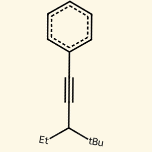 CCC(C#Cc1ccccc1)C(C)(C)C